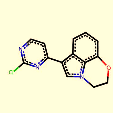 Clc1nccc(-c2cn3c4c(cccc24)OCC3)n1